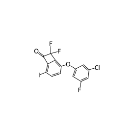 O=C1c2c(I)ccc(Oc3cc(F)cc(Cl)c3)c2C1(F)F